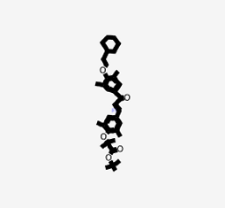 Cc1cc(C(=O)/C=C/c2cc(C)c(OC(C)(C)C(=O)OC(C)(C)C)c(C)c2)cc(C)c1OCCC1CCCCC1